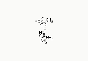 CC(CCCn1ncc(N)c1N)S(=O)(=O)O